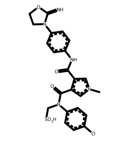 Cn1cc(C(=O)Nc2ccc(N3CCOC3=N)cc2)c(C(=O)N(CS(=O)(=O)O)c2ccc(Cl)cc2)c1